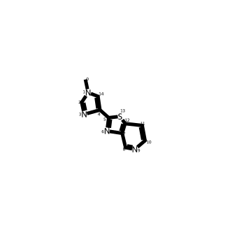 Cn1cnc(-c2nc3cnccc3s2)c1